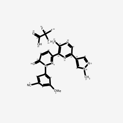 COc1cc(C#N)cc(-n2nc(-c3nc(-c4cnn(C)c4)cnc3N)ccc2=O)c1.O=C(O)C(F)(F)F